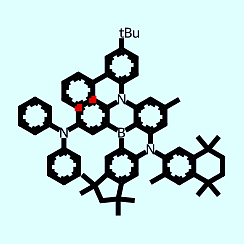 Cc1cc2c3c(c1)N(c1ccc(C(C)(C)C)cc1-c1ccccc1)c1ccc(N(c4ccccc4)c4ccccc4)cc1B3c1cc3c(cc1N2c1cc2c(cc1C)C(C)(C)CCC2(C)C)C(C)(C)CC3(C)C